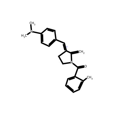 C=C1/C(=C/c2ccc(N(C)C)cc2)CCN1C(=O)c1ccccc1C